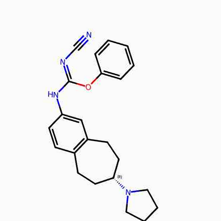 N#CN=C(Nc1ccc2c(c1)CC[C@H](N1CCCC1)CC2)Oc1ccccc1